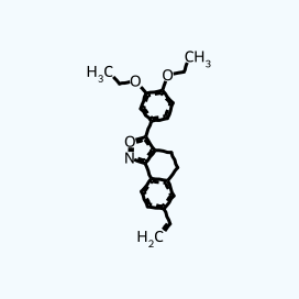 C=Cc1ccc2c(c1)CCc1c-2noc1-c1ccc(OCC)c(OCC)c1